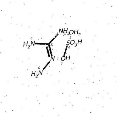 NN=C(N)N.O.O=S(=O)(O)O